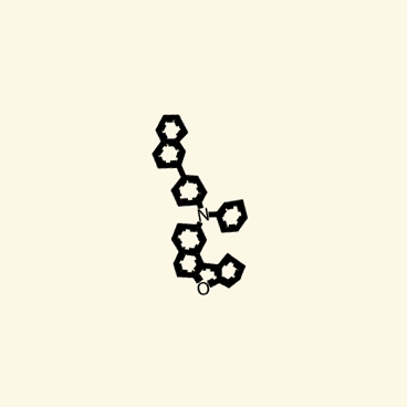 c1ccc(N(c2ccc(-c3ccc4ccccc4c3)cc2)c2ccc3ccc4oc5ccccc5c4c3c2)cc1